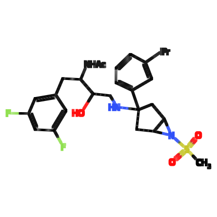 CC(=O)NC(Cc1cc(F)cc(F)c1)C(O)CNC1(c2cccc(C(C)C)c2)CC2C(C1)N2S(C)(=O)=O